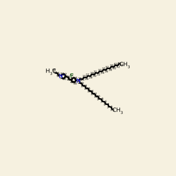 CCCCCCCCCCCCCCCCCCCCCCN(CCCCCCCCCCCCCCCCCCCCCC)c1ccc(/C=C/c2cc[n+](CCCC)cc2)c(F)c1